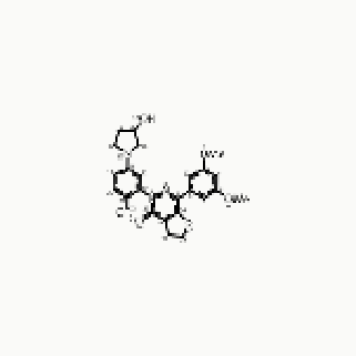 COc1cc(OC)cc(-c2nn(-c3cc(N4CCC(O)C4)ccc3C(F)(F)F)c(=O)c3c2OCC3)c1